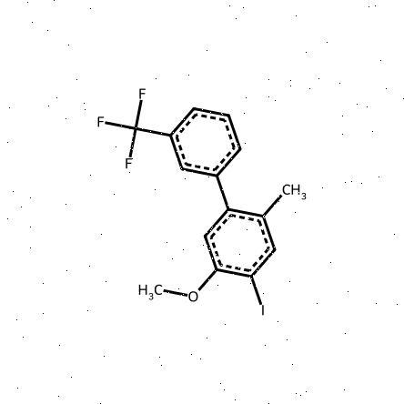 COc1cc(-c2cccc(C(F)(F)F)c2)c(C)cc1I